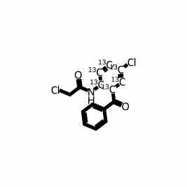 O=C(CCl)N[13c]1[13cH][13cH][13c](Cl)[13cH][13c]1C(=O)c1ccccc1